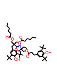 CCCCCC(=O)OCC(COC(=O)CCCCC)(Cc1cc(C(C)(C)C)c(O)c(C(C)(C)C)c1)C1=NC(CC)(COC(=O)CCc2cc(C(C)(C)C)c(O)c(C(C)(C)C)c2)CO1